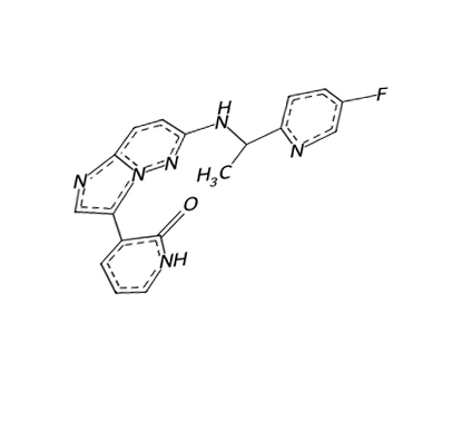 CC(Nc1ccc2ncc(-c3ccc[nH]c3=O)n2n1)c1ccc(F)cn1